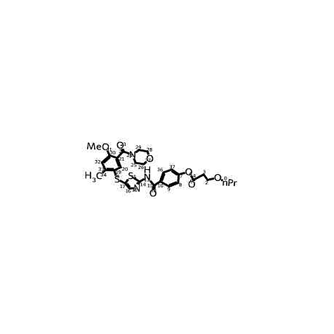 CCCOCCC(=O)Oc1ccc(C(=O)Nc2ncc(Sc3cc(C(=O)N4CCOCC4)c(OC)cc3C)s2)cc1